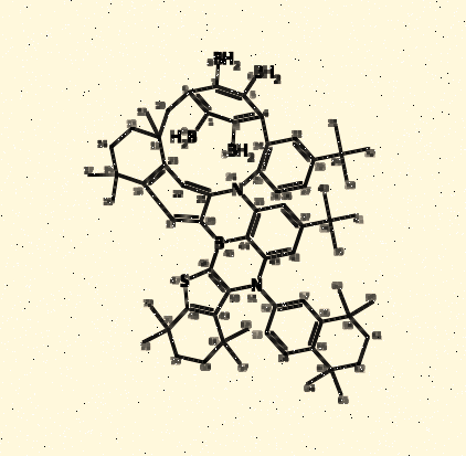 Bc1c(B)c2c(B)c(B)c1CC1(C)CCC(C)(C)c3cc4c(cc31)N(c1ccc(C(C)(C)C)cc1-2)c1cc(C(C)(C)C)cc2c1B4c1sc3c(c1N2c1ccc2c(c1)C(C)(C)CCC2(C)C)C(C)(C)CCC3(C)C